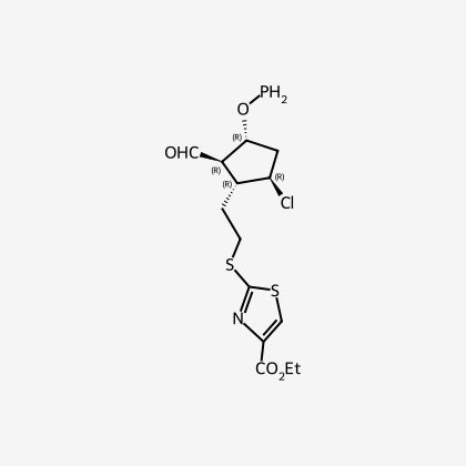 CCOC(=O)c1csc(SCC[C@@H]2[C@@H](C=O)[C@H](OP)C[C@H]2Cl)n1